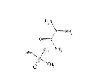 CCCP(C)(=O)O.NC(=O)N(N)N